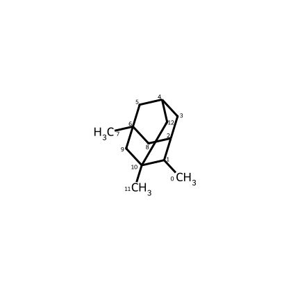 CC1C2CC3CC(C)(C2)CC1(C)C3